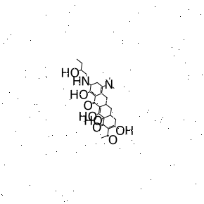 CCC(O)CNC1CC(N(C)C)=C2CC3CC4CC(O)=C(C(C)=O)C(=O)C4(O)C(O)=C3C(=O)C2=C1O